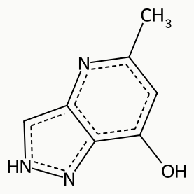 Cc1cc(O)c2n[nH]cc2n1